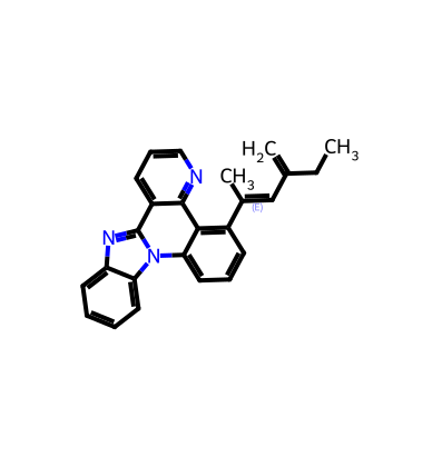 C=C(/C=C(\C)c1cccc2c1c1ncccc1c1nc3ccccc3n21)CC